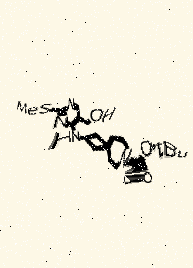 CSc1ncc(CO)c(NC2CC3(CCN(C(=O)OC(C)(C)C)CC3)C2)n1